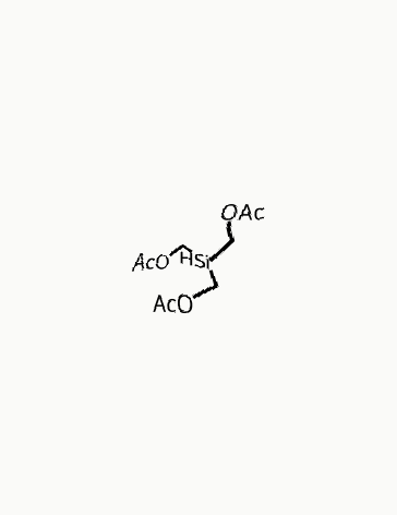 CC(=O)OC[SiH](COC(C)=O)COC(C)=O